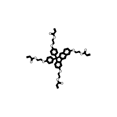 C=CC(=O)OCCOc1ccc(C2(c3ccc(OCCOC(=O)C=C)cc3)c3ccc(OCCOC(=O)C=C)cc3-c3cc4cc(OCCOC(=O)C=C)ccc4cc32)cc1